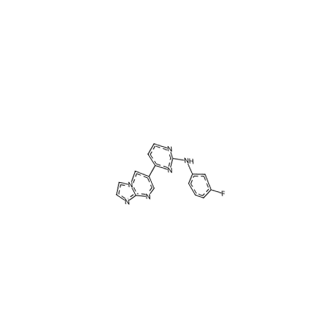 Fc1cccc(Nc2nccc(-c3cnc4nccn4c3)n2)c1